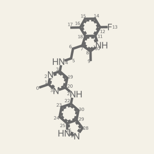 Cc1nc(NCCc2c(C)[nH]c3c(F)ccc(C)c23)cc(Nc2ccc3[nH]ncc3c2)n1